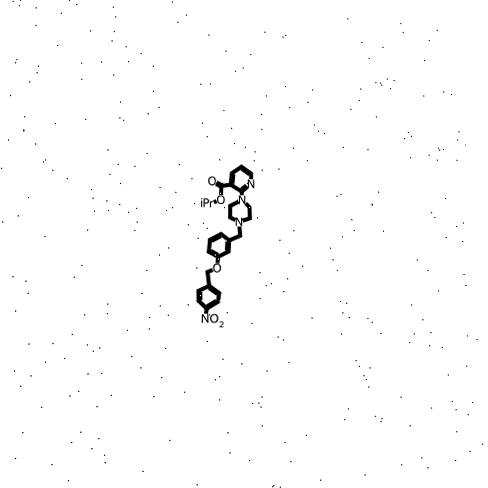 CC(C)OC(=O)c1cccnc1N1CCN(Cc2cccc(OCc3ccc([N+](=O)[O-])cc3)c2)CC1